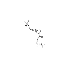 [CH2]CC(=O)C1CCN(CCC(F)(F)F)C1